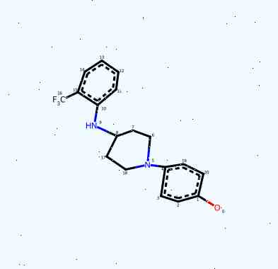 [O]c1ccc(N2CCC(Nc3ccccc3C(F)(F)F)CC2)cc1